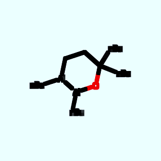 CCC[CH2][Al]1[CH2]CC(CCCC)(CCCC)[O][Al]1[CH2]CCC